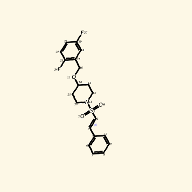 O=S(=O)(/C=C/c1ccccc1)N1CCC(OCc2cc(F)ccc2F)CC1